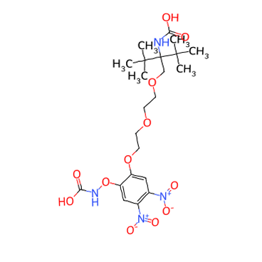 CC(C)(C)C(COCCOCCOc1cc([N+](=O)[O-])c([N+](=O)[O-])cc1ONC(=O)O)(NC(=O)O)C(C)(C)C